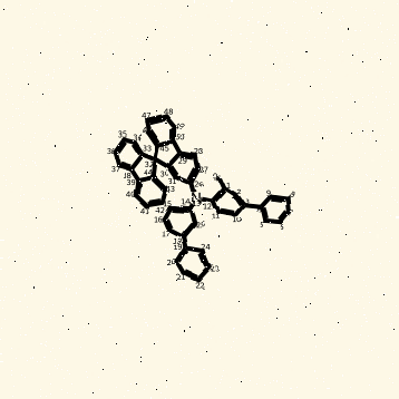 Cc1cc(-c2ccccc2)ccc1N(c1cccc(-c2ccccc2)c1)c1ccc2c(c1)C1(c3ccccc3-c3ccccc31)c1ccccc1-2